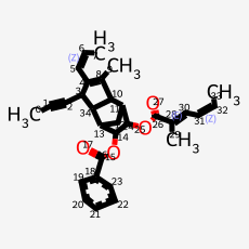 CC#CC1C(/C=C\C)=C(C)C2C3CC(C(OC(=O)c4ccccc4)C3OC(=O)/C(C)=C/C=C\C)C12